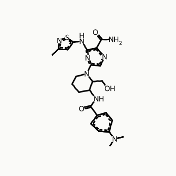 Cc1cc(Nc2nc(N3CCCC(NC(=O)c4ccc(N(C)C)cc4)C3CO)cnc2C(N)=O)sn1